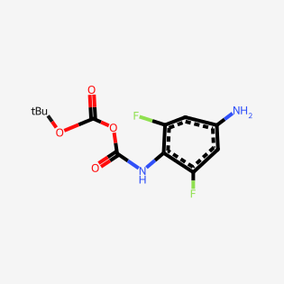 CC(C)(C)OC(=O)OC(=O)Nc1c(F)cc(N)cc1F